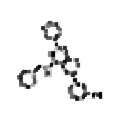 Cc1cccc(-c2ccc3nc(-c4cccnc4)nc(NCc4ccccn4)c3c2)c1